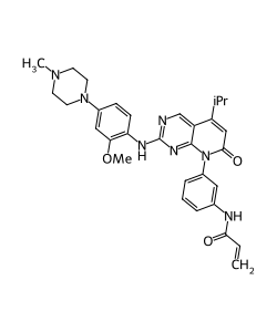 C=CC(=O)Nc1cccc(-n2c(=O)cc(C(C)C)c3cnc(Nc4ccc(N5CCN(C)CC5)cc4OC)nc32)c1